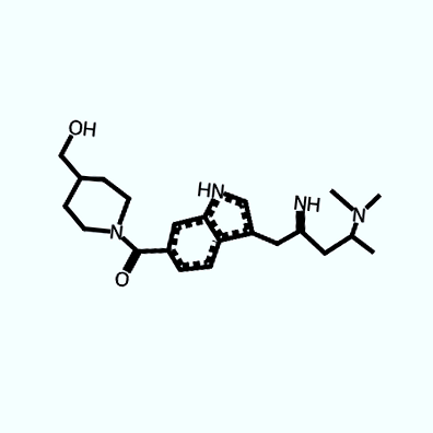 CC(CC(=N)Cc1c[nH]c2cc(C(=O)N3CCC(CO)CC3)ccc12)N(C)C